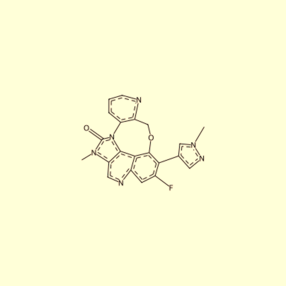 Cn1cc(-c2c(F)cc3ncc4c5c3c2OCc2ncccc2-n5c(=O)n4C)cn1